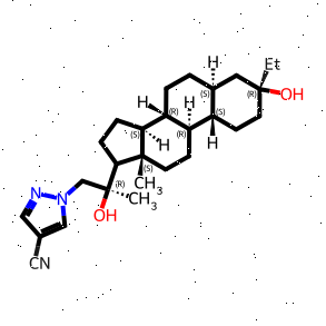 CC[C@@]1(O)CC[C@H]2[C@@H](CC[C@@H]3[C@@H]2CC[C@]2(C)C([C@@](C)(O)Cn4cc(C#N)cn4)CC[C@@H]32)C1